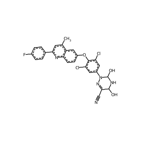 Cc1cc(-c2ccc(F)cc2)nc2ccc(Oc3c(Cl)cc(N4N=C(C#N)C(O)NC4O)cc3Cl)cc12